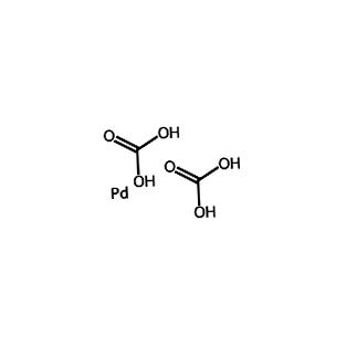 O=C(O)O.O=C(O)O.[Pd]